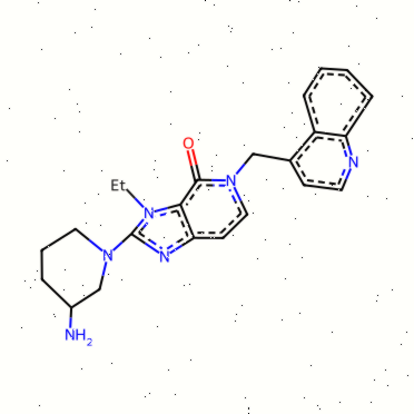 CCn1c(N2CCCC(N)C2)nc2ccn(Cc3ccnc4ccccc34)c(=O)c21